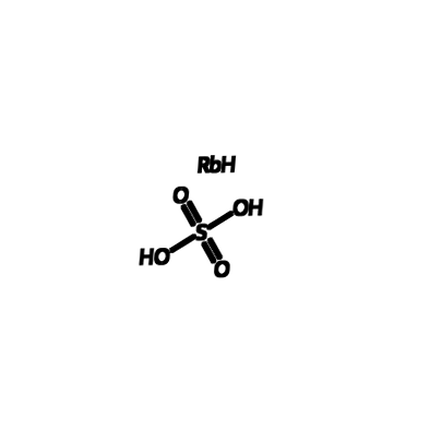 O=S(=O)(O)O.[RbH]